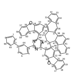 c1ccc(-c2cccc(-c3nc(-c4cc5oc6ccccc6c5cc4C4CCc5cc6ccccc6cc5-c5ccc6ccccc6c54)nc(-c4cccc5oc6ccccc6c45)n3)c2)cc1